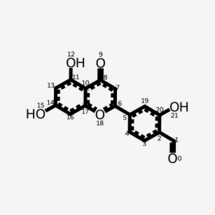 O=Cc1ccc(-c2cc(=O)c3c(O)cc(O)cc3o2)cc1O